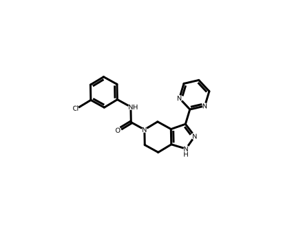 O=C(Nc1cccc(Cl)c1)N1CCc2[nH]nc(-c3ncccn3)c2C1